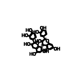 Oc1cc(O)c2c(c1)O[C@H](c1ccc(O)c(O)c1)[C@H](O)[C@H]2c1c(O)cc(O)c2c1O[C@H](c1ccc(O)c(O)c1)[C@@H](O)C2